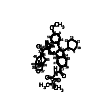 COc1ccc(-c2c(C3CCCCC3)c3ccc(C(=O)NS(=O)(=O)N(C)C)cc3n2CC2(C(=O)N3CC45COCC4(CN(CC(F)(F)F)C5)C3)CC2)cc1